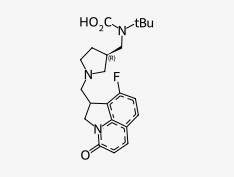 CC(C)(C)N(C[C@@H]1CCN(CC2Cn3c(=O)ccc4ccc(F)c2c43)C1)C(=O)O